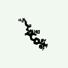 Cc1nn(C/C(F)=C/CN)c(C)c1Cc1ccc(S(=O)(=O)C(F)(F)F)cc1.Cl